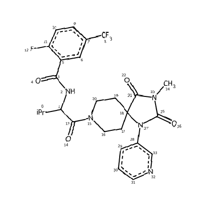 CC(C)C(NC(=O)c1cc(C(F)(F)F)ccc1F)C(=O)N1CCC2(CC1)C(=O)N(C)C(=O)N2c1cccnc1